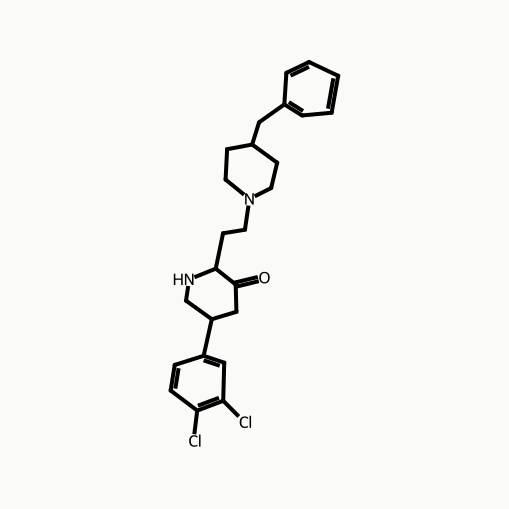 O=C1CC(c2ccc(Cl)c(Cl)c2)CNC1CCN1CCC(Cc2ccccc2)CC1